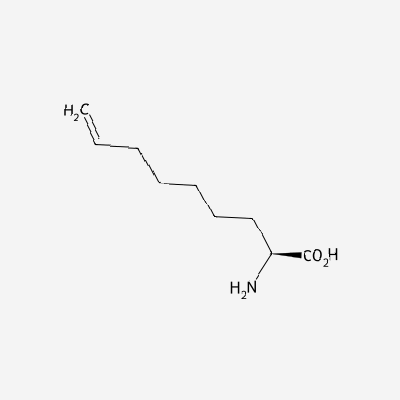 C=CCCCCC[C@H](N)C(=O)O